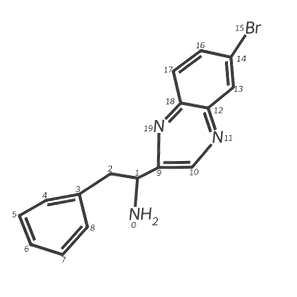 NC(Cc1ccccc1)c1cnc2cc(Br)ccc2n1